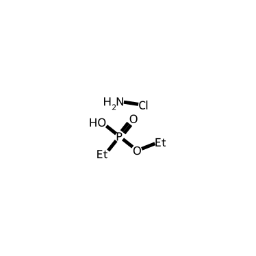 CCOP(=O)(O)CC.NCl